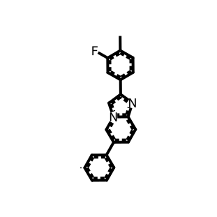 Cc1ccc(-c2cn3cc(-c4c[c]ccc4)ccc3n2)cc1F